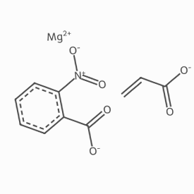 C=CC(=O)[O-].O=C([O-])c1ccccc1[N+](=O)[O-].[Mg+2]